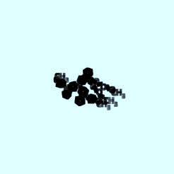 COCCOCCOCCC1(CCOCCOCCOC)c2ccccc2-c2ccc(N(c3ccc4c(c3)c3ccccc3n4-c3ccc(OC)cc3)c3ccc4c(c3)c3ccccc3n4-c3ccc(OC)cc3)cc21